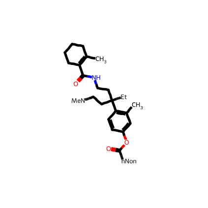 CCCCCCCCCC(=O)Oc1ccc(C(CC)(CCNC)CCNC(=O)C2=C(C)CCCC2)c(C)c1